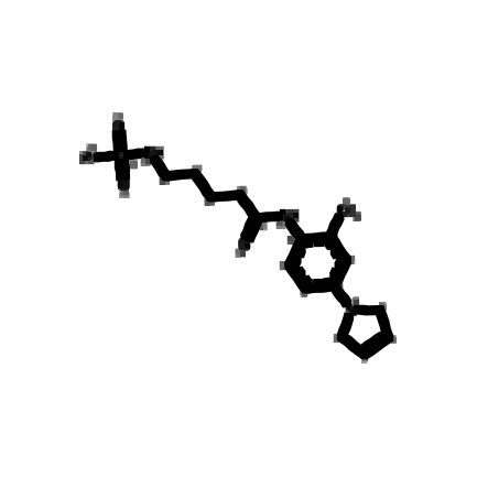 Cc1cc(N2CC=CC2)ccc1NC(=O)CCCCNS(=O)(=O)C(C)C